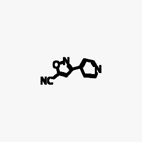 N#Cc1cc(-c2ccncc2)no1